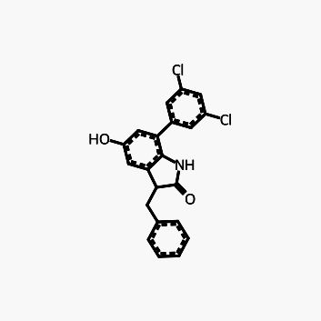 O=C1Nc2c(-c3cc(Cl)cc(Cl)c3)cc(O)cc2C1Cc1ccccc1